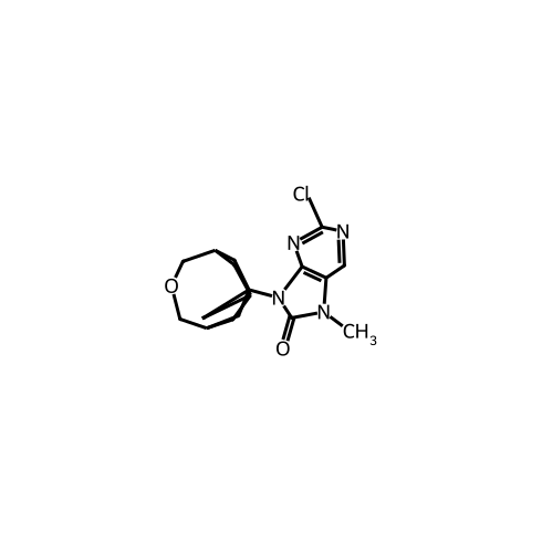 Cn1c(=O)n(C23CC4COCC(CC(C4)C2)C3)c2nc(Cl)ncc21